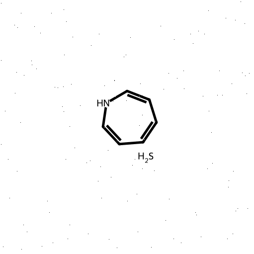 C1=CC=CNC=C1.S